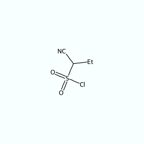 CCC(C#N)S(=O)(=O)Cl